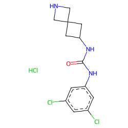 Cl.O=C(Nc1cc(Cl)cc(Cl)c1)NC1CC2(CNC2)C1